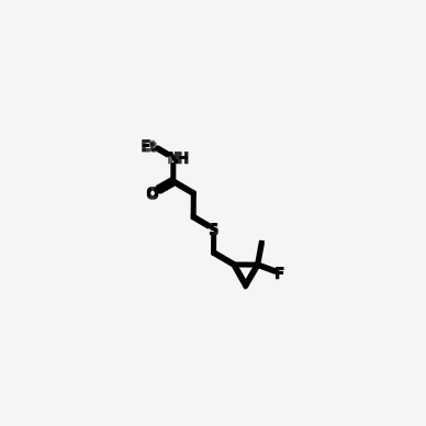 CCNC(=O)CCSCC1CC1(C)F